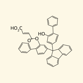 O=C(O)C=CC(=O)Oc1cc(C2(c3ccc(-c4ccccc4)c(O)c3)c3ccccc3-c3ccccc32)ccc1-c1ccccc1